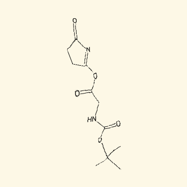 CC(C)(C)OC(=O)NCC(=O)OC1=NC(=O)CC1